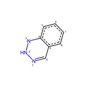 C1=NN[N]c2ccccc21